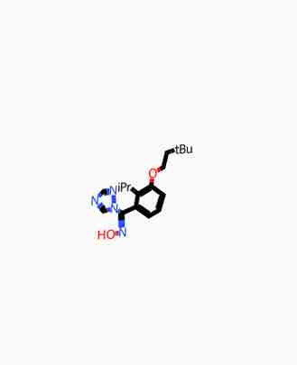 CC(C)c1c(OCCC(C)(C)C)cccc1C(=NO)n1cncn1